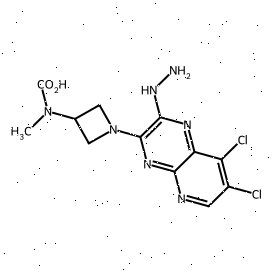 CN(C(=O)O)C1CN(c2nc3ncc(Cl)c(Cl)c3nc2NN)C1